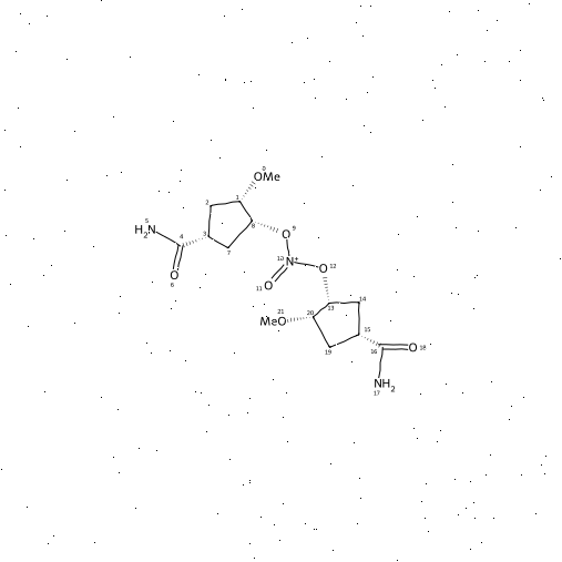 CO[C@H]1C[C@@H](C(N)=O)C[C@H]1O[N+](=O)O[C@@H]1C[C@H](C(N)=O)C[C@@H]1OC